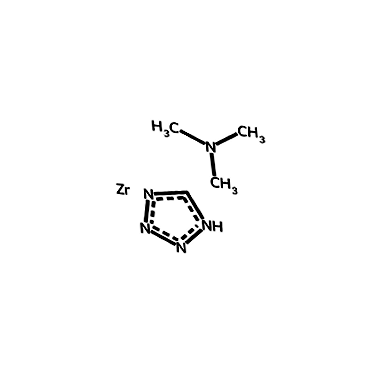 CN(C)C.[Zr].c1nnn[nH]1